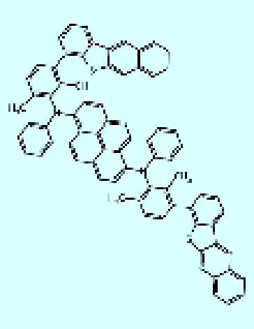 Cc1ccc(-c2cccc3c2sc2cc4ccccc4cc23)c(C)c1N(c1ccccc1)c1ccc2ccc3c(N(c4ccccc4)c4c(C)ccc(-c5cccc6c5sc5cc7ccccc7cc56)c4C)ccc4ccc1c2c43